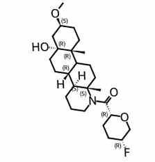 CO[C@H]1CC[C@]2(C)C3CC[C@@]4(C)[C@@H](CCCN4C(=O)[C@H]4CC[C@@H](F)CO4)[C@@H]3CC[C@@]2(O)C1